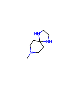 CN1CCC2(CC1)NCCN2